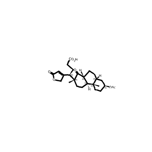 CC(=O)O[C@H]1CC[C@@]2(C)[C@H](CC[C@H]3C(=O)[C@@](C)([C@H](CCC(=O)O)C4=CC(=O)OC4)CC[C@@H]32)C1